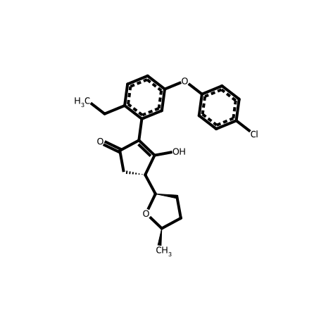 CCc1ccc(Oc2ccc(Cl)cc2)cc1C1=C(O)[C@H]([C@H]2CC[C@@H](C)O2)CC1=O